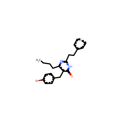 CCCCc1nc(CCc2ccccc2)[nH]c(=O)c1Cc1ccc(Br)cc1